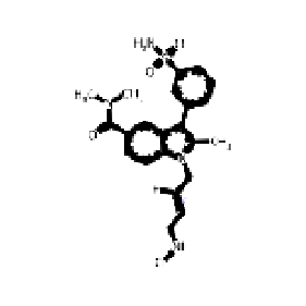 Cc1c(-c2cccc(S(N)(=O)=O)c2)c2cc(C(=O)N(C)C)ccc2n1C/C(F)=C/CNCl